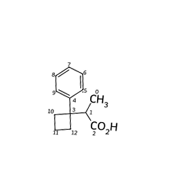 CC(C(=O)O)C1(c2[c]cccc2)CCC1